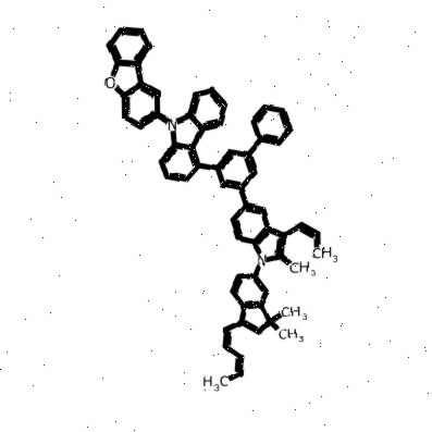 C/C=C\C=C/C1=CC(C)(C)c2cc(-n3c(C)c(/C=C\C)c4cc(-c5cc(-c6ccccc6)cc(-c6cccc7c6c6ccccc6n7-c6ccc7oc8ccccc8c7c6)c5)ccc43)ccc21